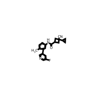 Cc1ccc(NC(=O)C2CC(C#N)(C3CC3)C2)cc1-c1cncc(F)c1